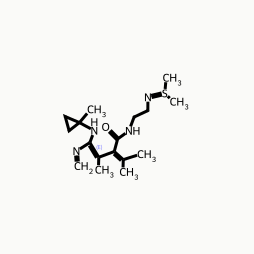 C=N/C(NC1(C)CC1)=C(\C)C(C(=O)NCCN=S(C)C)=C(C)C